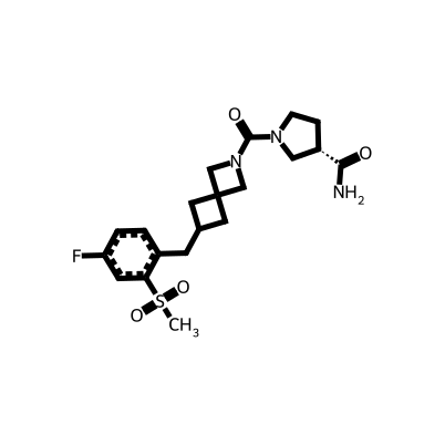 CS(=O)(=O)c1cc(F)ccc1CC1CC2(C1)CN(C(=O)N1CC[C@H](C(N)=O)C1)C2